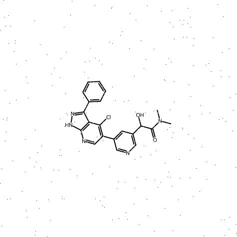 CN(C)C(=O)C(O)c1cncc(-c2cnc3[nH]nc(-c4ccccc4)c3c2Cl)c1